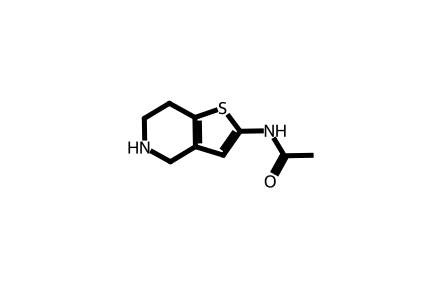 CC(=O)Nc1cc2c(s1)CCNC2